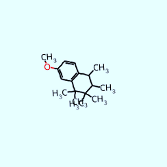 COc1ccc2c(c1)C(C)(C)C(C)(C)C(C)C2C